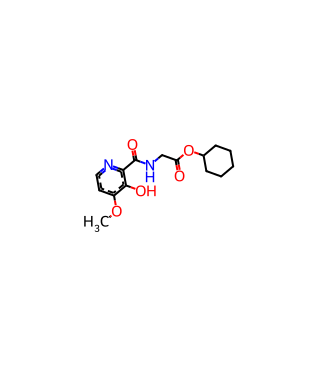 COc1ccnc(C(=O)NCC(=O)OC2CCCCC2)c1O